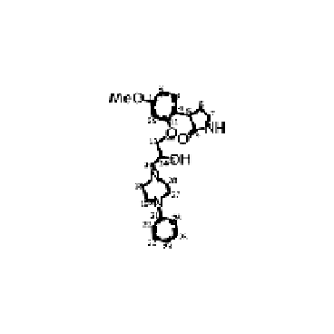 COc1ccc(C2CCNC2=O)c(OCC(O)CN2CCN(c3ccccc3)CC2)c1